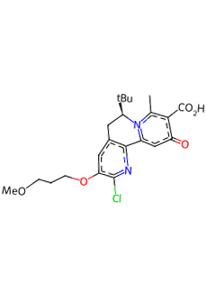 COCCCOc1cc2c(nc1Cl)-c1cc(=O)c(C(=O)O)c(C)n1[C@H](C(C)(C)C)C2